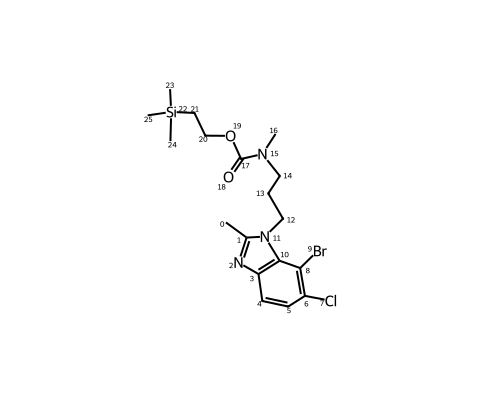 Cc1nc2ccc(Cl)c(Br)c2n1CCCN(C)C(=O)OCC[Si](C)(C)C